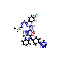 C=N/N=C\N(N)c1ccc(Cl)cc1/C=C/C(=O)N[C@@H](Cc1ccccc1)C(=O)Nc1ccc(-n2cnnn2)cc1